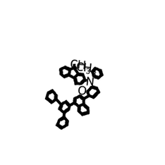 CC1(C)c2ccccc2-c2ccc(N(C3=CC=CC4c5c(cc(-c6cc(-c7ccccc7)cc(-c7ccccc7)c6)c6ccccc56)OC34)c3ccccc3)cc21